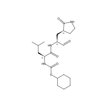 CC(C)C[C@H](NC(=O)OC1CCCCC1)C(=O)N[C@H](C=O)C[C@@H]1CCNC1=O